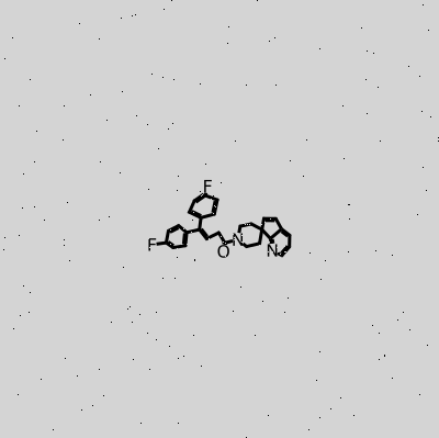 O=C(CC=C(c1ccc(F)cc1)c1ccc(F)cc1)N1CCC2(C=Cc3cccnc32)CC1